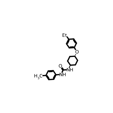 CCc1ccc(O[C@H]2CC[C@H](NC(=O)Nc3ccc(C)cc3)CC2)cc1